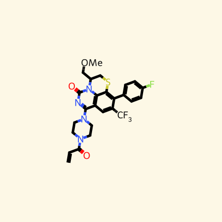 C=CC(=O)N1CCN(c2nc(=O)n3c4c(c(-c5ccc(F)cc5)c(C(F)(F)F)cc24)SCC3COC)CC1